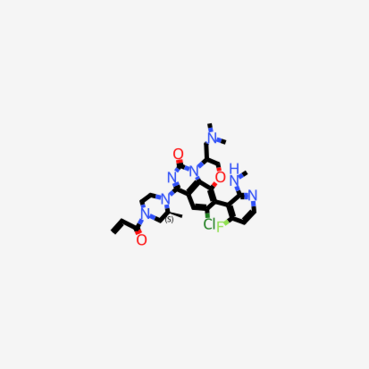 C=CC(=O)N1CCN(c2nc(=O)n3c4c(c(-c5c(F)ccnc5NC)c(Cl)cc24)OCC3CN(C)C)[C@@H](C)C1